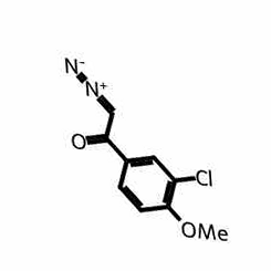 COc1ccc(C(=O)C=[N+]=[N-])cc1Cl